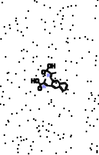 C/C(=C\c1cc2ccccc2cc1/C=C(\C)C(=O)O)C(=O)O